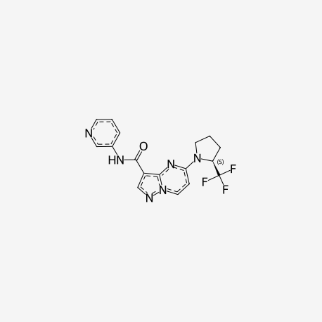 O=C(Nc1cccnc1)c1cnn2ccc(N3CCC[C@H]3C(F)(F)F)nc12